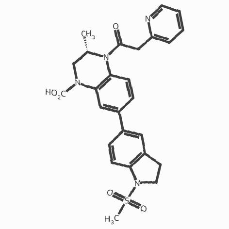 C[C@H]1CN(C(=O)O)c2cc(-c3ccc4c(c3)CCN4S(C)(=O)=O)ccc2N1C(=O)Cc1ccccn1